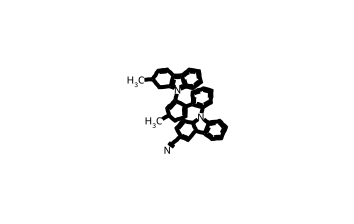 CC1C=C(n2c3c(c4ccccc42)C=CC(C)C3)C(c2ccccc2N2c3ccccc3C3C=C(C#N)C=CC32)=CC1